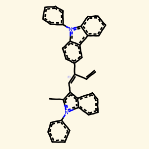 C=C/C(=C\c1c(C)n(-c2ccccc2)c2ccccc12)c1ccc2c(c1)c1ccccc1n2-c1ccccc1